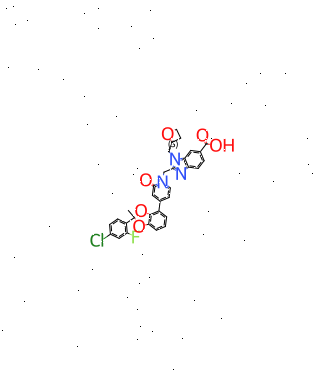 CC1(c2ccc(Cl)cc2F)Oc2cccc(-c3ccn(Cc4nc5ccc(C(=O)O)cc5n4C[C@@H]4CCO4)c(=O)c3)c2O1